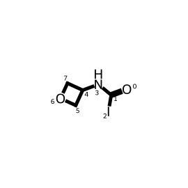 O=C(I)NC1COC1